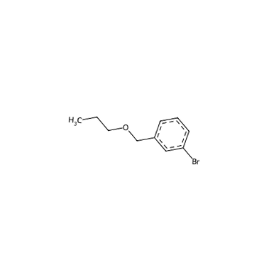 CCCOCc1cccc(Br)c1